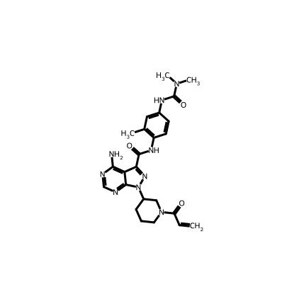 C=CC(=O)N1CCCC(n2nc(C(=O)Nc3ccc(NC(=O)N(C)C)cc3C)c3c(N)ncnc32)C1